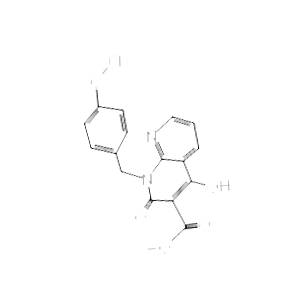 COc1ccc(Cn2c(=O)c(C(=O)O)c(O)c3cccnc32)cc1